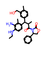 CCNc1ccc(C(c2ccc(C)c(CO)c2)C(C)C(=O)N2C(=O)OCC2c2ccccc2)c(C)c1N